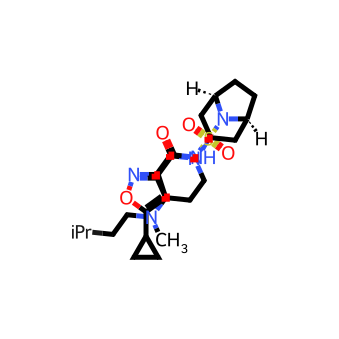 CC(C)CCN(C)C1CCN(S(=O)(=O)N2[C@@H]3CC[C@H]2C[C@@H](NC(=O)c2cc(C4CC4)on2)C3)CC1